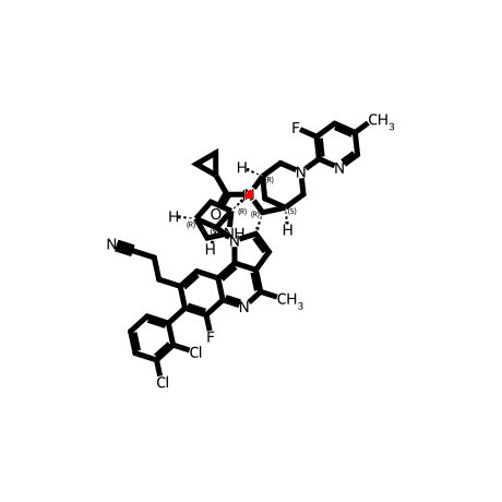 Cc1cnc(N2C[C@@H]3C[C@H](C2)N(C(=O)C2CC2)[C@H]3c2cc3c(C)nc4c(F)c(-c5cccc(Cl)c5Cl)c(CCC#N)cc4c3n2[C@H]2[C@H]3CN[C@@H]2C3)c(F)c1